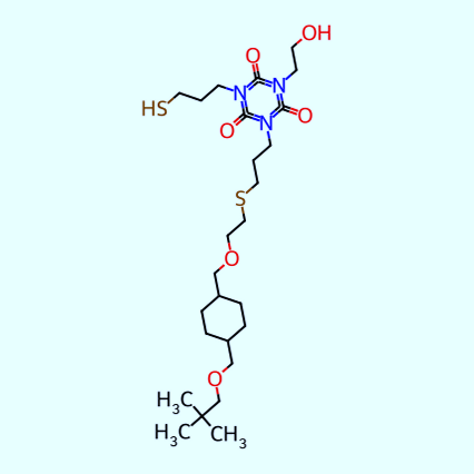 CC(C)(C)COCC1CCC(COCCSCCCn2c(=O)n(CCO)c(=O)n(CCCS)c2=O)CC1